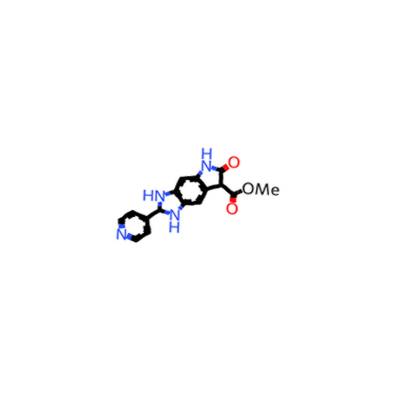 COC(=O)C1C(=O)Nc2cc3c(cc21)NC(c1ccncc1)N3